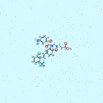 COC(=O)CC[C@H]1CN(S(=O)(=O)c2cccc(C(F)F)c2)c2cc(/C=C/c3c(Cl)cccc3C(F)(F)F)ccc2O1